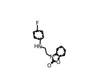 O=c1oc2ccccc2n1CCNc1ccc(F)cc1